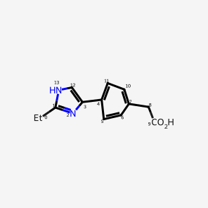 CCc1nc(-c2ccc(CC(=O)O)cc2)c[nH]1